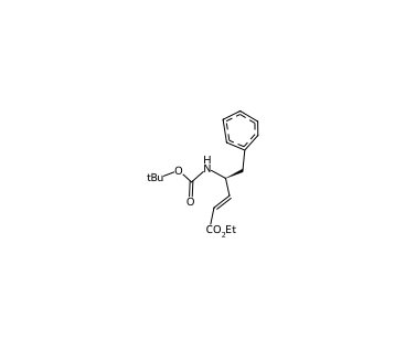 CCOC(=O)C=C[C@H](Cc1ccccc1)NC(=O)OC(C)(C)C